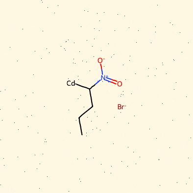 CCC[CH]([Cd])[N+](=O)[O-].[Br-]